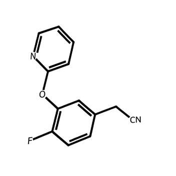 N#CCc1ccc(F)c(Oc2ccccn2)c1